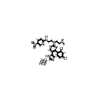 CN(C)CCN(CCNc1ccc([N+](=O)[O-])cn1)c1ncc(-c2cnc[nH]2)c(-c2ccc(Cl)cc2Cl)n1.Cl.Cl.Cl